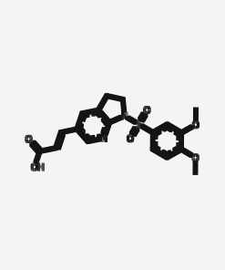 COc1ccc(S(=O)(=O)N2CCc3cc(/C=C/C(=O)O)cnc32)cc1OC